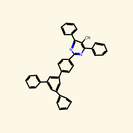 N#Cc1c(-c2ccccc2)nc(-c2ccc(-c3cc(-c4ccccc4)cc(-c4ccccc4)c3)cc2)nc1-c1ccccc1